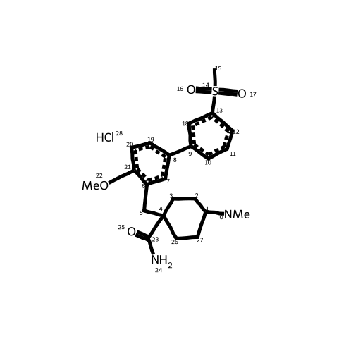 CNC1CCC(Cc2cc(-c3cccc(S(C)(=O)=O)c3)ccc2OC)(C(N)=O)CC1.Cl